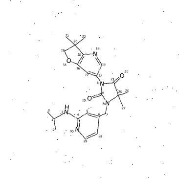 CC(C)Nc1cc(CN2C(=O)N(c3cnc4c(c3)OCC4(C)C)C(=O)C2(C)C)ccn1